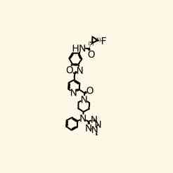 Cn1nnc(N(c2ccccc2)C2CCN(C(=O)c3cc(-c4nc5cc(NC(=O)[C@@H]6C[C@@H]6F)ccc5o4)ccn3)CC2)n1